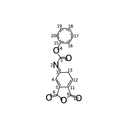 O=C(N=C1C=C2C(=O)OC(=O)C2=CC1)Oc1ccccc1